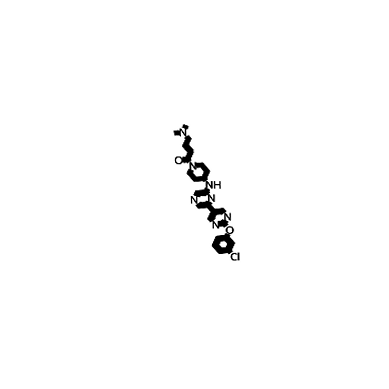 CN(C)C/C=C/C(=O)N1CCC(Nc2cncc(-c3cnc(Oc4cccc(Cl)c4)nc3)n2)CC1